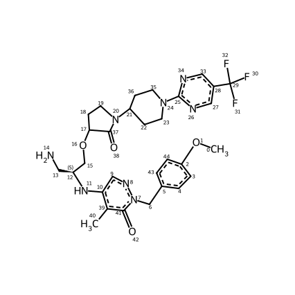 COc1ccc(Cn2ncc(N[C@@H](CN)COC3CCN(C4CCN(c5ncc(C(F)(F)F)cn5)CC4)C3=O)c(C)c2=O)cc1